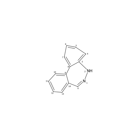 C1=NNc2ccccc2-c2ccccc21